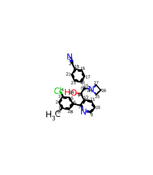 Cc1cc(Cl)cc(-c2ncccc2[C@@H](O)[C@H](c2ccc(C#N)cc2)N2CCC2)c1